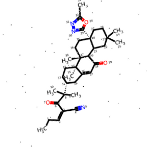 CC/C=C(/C#N)C(=O)C(C)(C)[C@@H]1CC[C@]2(C)C(=CC(=O)C3C4CC(C)(C)CC[C@]4(c4nnc(C)o4)CC[C@]32C)C1